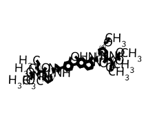 CC[C@H](C)C(NC(=O)OC)C(=O)N1[C@@H](C)CC[C@H]1c1ncc(-c2ccc3c(c2)COc2cc4c(ccc5nc([C@@H]6C[C@H](COC)CN6C(=O)[C@@H](NC(=O)OC)[C@@H](C)OC)[nH]c54)cc2-3)[nH]1